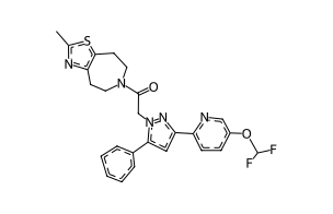 Cc1nc2c(s1)CCN(C(=O)Cn1nc(-c3ccc(OC(F)F)cn3)cc1-c1ccccc1)CC2